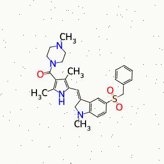 Cc1[nH]c(/C=C2\CN(C)c3ccc(S(=O)(=O)Cc4ccccc4)cc32)c(C)c1C(=O)N1CCN(C)CC1